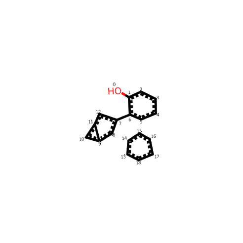 Oc1ccccc1-c1[c]c2cc-2c1.[c]1ccccc1